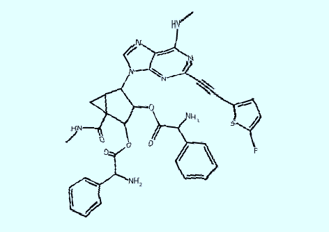 CNC(=O)C12CC1C(n1cnc3c(NC)nc(C#Cc4ccc(F)s4)nc31)C(OC(=O)C(N)c1ccccc1)C2OC(=O)C(N)c1ccccc1